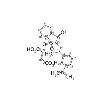 CC(CN1C(=O)c2ccccc2S1(=O)=O)c1cccc(N(C)C)c1.O=C(O)C=CC(=O)O